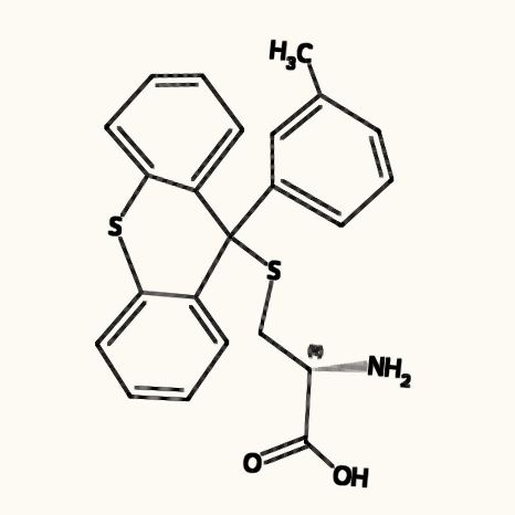 Cc1cccc(C2(SC[C@H](N)C(=O)O)c3ccccc3Sc3ccccc32)c1